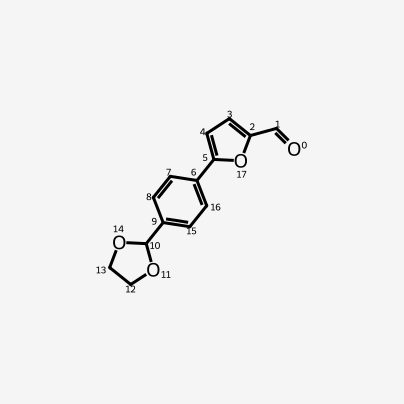 O=Cc1ccc(-c2ccc(C3OCCO3)cc2)o1